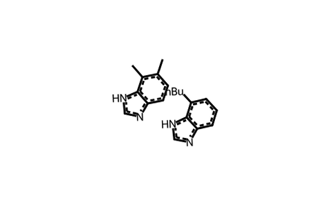 CCCCc1cccc2nc[nH]c12.Cc1ccc2nc[nH]c2c1C